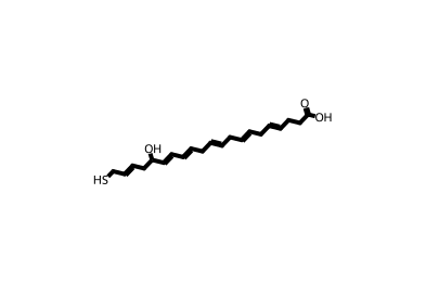 O=C(O)CC/C=C/C/C=C/C/C=C/C/C=C/C=C/C(O)C/C=C/CS